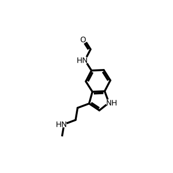 CNCCc1c[nH]c2ccc(NC=O)cc12